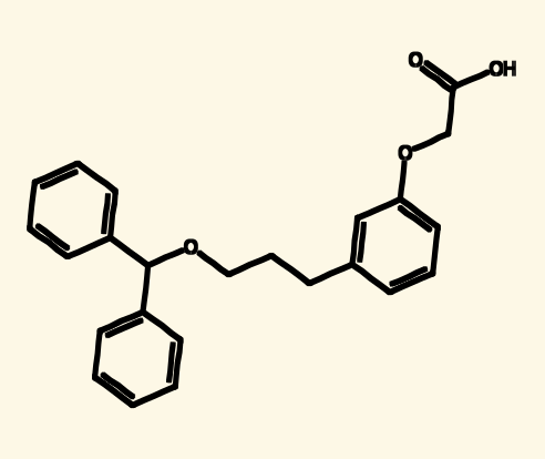 O=C(O)COc1cccc(CCCOC(c2ccccc2)c2ccccc2)c1